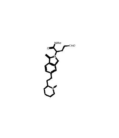 C=C1c2ccc(CCC3CCCCN3C)cc2CN1C(CCC=O)C(=O)NC